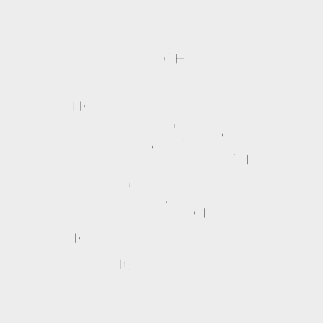 C=CC(C)=C(C(=O)OCCO)C(OCCO)(OCCO)OCCO